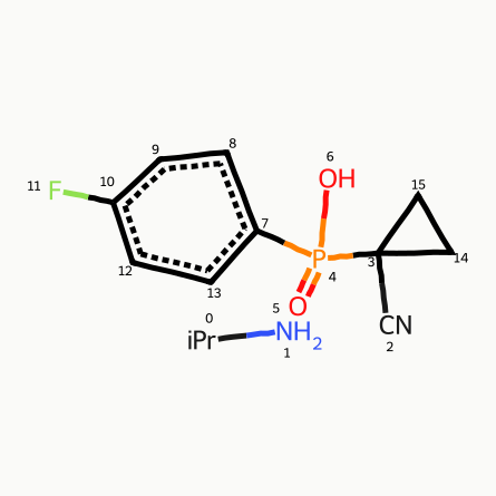 CC(C)N.N#CC1(P(=O)(O)c2ccc(F)cc2)CC1